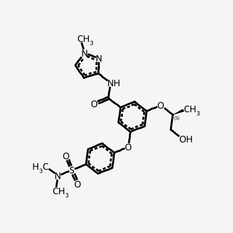 C[C@@H](CO)Oc1cc(Oc2ccc(S(=O)(=O)N(C)C)cc2)cc(C(=O)Nc2ccn(C)n2)c1